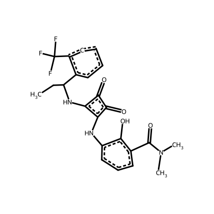 CCC(Nc1c(Nc2cccc(C(=O)N(C)C)c2O)c(=O)c1=O)c1ccccc1C(F)(F)F